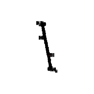 NC(=O)CCCCCCCCCCC(O)CCCCCCCCCCCCCCC(O)CCCCCCCCCCC(N)=O